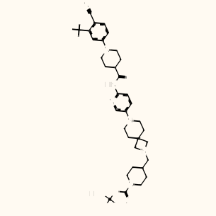 CC(C)(C)OC(=O)N1CCC(CN2CC3(CCN(c4ccc(NC(=O)C5CCN(c6ccc(C#N)c(C(F)(F)F)c6)CC5)nc4)CC3)C2)CC1